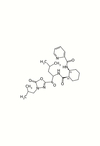 CC(C)CC(NC(=O)[C@@H]1CCCC[C@@H]1NC(=O)c1ccccn1)C(=O)c1nn(CC(C)C)c(=O)o1